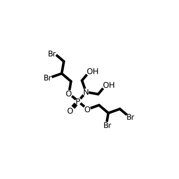 O=P(OCC(Br)CBr)(OCC(Br)CBr)N(CO)CO